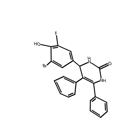 O=C1NC(c2ccccc2)=C(c2ccccc2)C(c2cc(F)c(O)c(Br)c2)N1